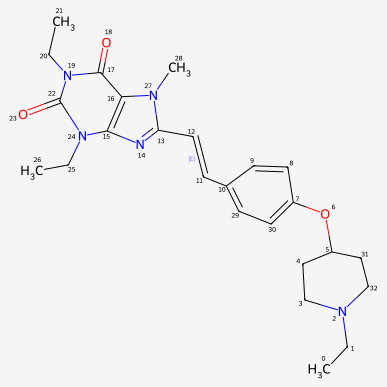 CCN1CCC(Oc2ccc(/C=C/c3nc4c(c(=O)n(CC)c(=O)n4CC)n3C)cc2)CC1